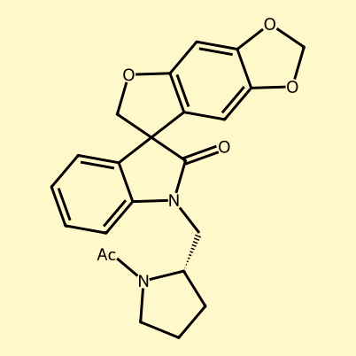 CC(=O)N1CCC[C@H]1CN1C(=O)C2(COc3cc4c(cc32)OCO4)c2ccccc21